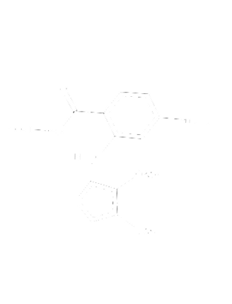 CCCCCCCCOC(=O)c1ccc(CCCCCCCC)cc1C(=O)O.COc1cscc1OC